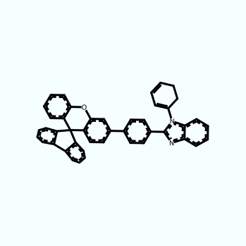 C1=CCCC(n2c(-c3ccc(-c4ccc5c(c4)Oc4ccccc4C54c5ccccc5-c5ccccc54)cc3)nc3ccccc32)=C1